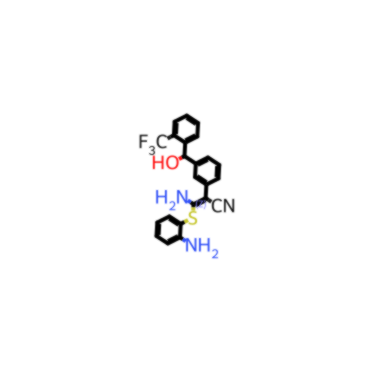 N#C/C(=C(/N)Sc1ccccc1N)c1cccc(C(O)c2ccccc2C(F)(F)F)c1